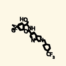 C[S+]([O-])c1ccc(C(CO)NC(=O)c2cnc3c(c2)CN(CC2CCC(C(F)(F)F)CC2)C3)cc1